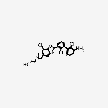 Cc1c(-c2nc3cc(CNCCO)cc(Cl)c3o2)cccc1-c1cccc(N)c1Cl